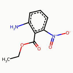 CCOC(=O)c1c(N)cccc1[N+](=O)[O-]